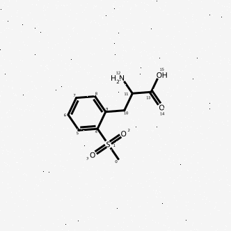 CS(=O)(=O)c1ccccc1CC(N)C(=O)O